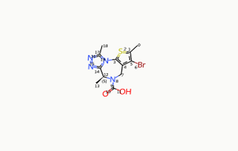 Cc1sc2c(c1Br)CN(C(=O)O)[C@@H](C)c1nnc(C)n1-2